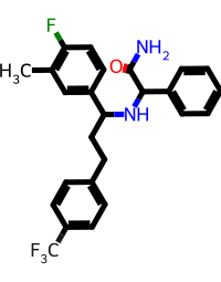 Cc1cc(C(CCc2ccc(C(F)(F)F)cc2)NC(C(N)=O)c2ccccc2)ccc1F